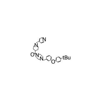 CC(C)(C)c1ccc(Oc2cccc(CN3CCN(C(=O)C4CCN(Cc5ccncc5)CC4)CC3)c2)cc1